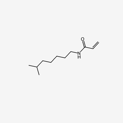 C=CC(=O)NCCCCCC(C)C